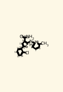 Cc1cccc(Nc2sc(-c3ccccc3Cl)cc2C(N)=O)n1